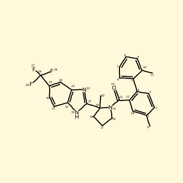 Cc1ccc(-c2ccccc2C)c(C(=O)N2CCCC2(C)c2nc3cc(C(F)(F)F)ccc3[nH]2)c1